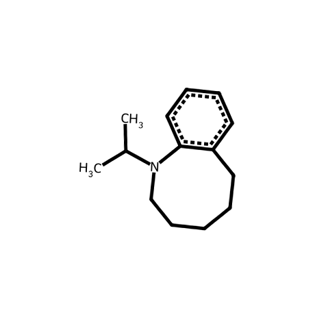 CC(C)N1CCCCCc2ccccc21